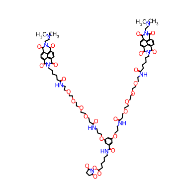 CN(C)CCN1C(=O)c2ccc3c4c(ccc(c24)C1=O)C(=O)N(CCCCCC(=O)NCCOCCOCCOCCOCCC(=O)NCCCOc1cc(OCCCNC(=O)CCOCCOCCOCCOCCNC(=O)CCCCCN2C(=O)c4ccc5c6c(ccc(c46)C2=O)C(=O)N(CCN(C)C)C5=O)cc(C(=O)NCCCCCC(=O)ON2C(=O)CCC2=O)c1)C3=O